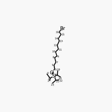 CC(C)[Si](OCCCCCCCCCCCCBr)(C(C)C)C(C)C